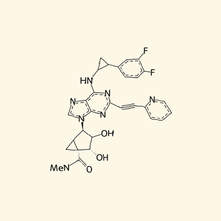 CNC(=O)[C@]12CC1[C@@H](n1cnc3c(NC4CC4c4ccc(F)c(F)c4)nc(C#Cc4ccccn4)nc31)C(O)[C@@H]2O